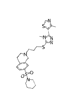 Cc1ncsc1-c1nnc(SCCCN2CCc3ccc(S(=O)(=O)N4CCCCC4)cc3C2)n1C